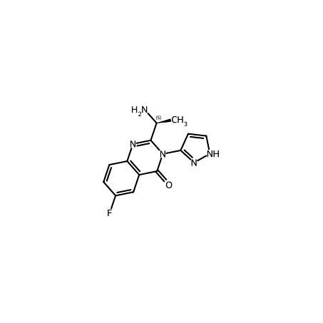 C[C@H](N)c1nc2ccc(F)cc2c(=O)n1-c1cc[nH]n1